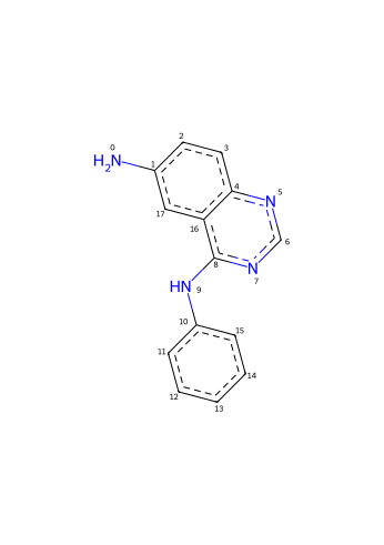 Nc1ccc2ncnc(Nc3ccccc3)c2c1